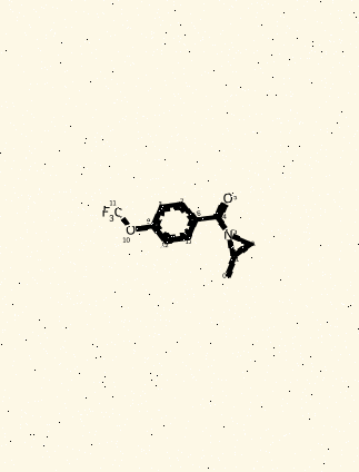 CC1CN1C(=O)c1ccc(OC(F)(F)F)cc1